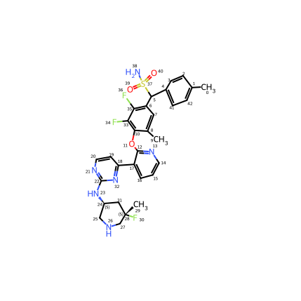 Cc1ccc(C(c2cc(C)c(Oc3ncccc3-c3ccnc(N[C@@H]4CNC[C@@](C)(F)C4)n3)c(F)c2F)S(N)(=O)=O)cc1